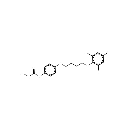 CCCNC(=O)Oc1ccc(OCCCCOc2c(Cl)cc(O)cc2Cl)cc1